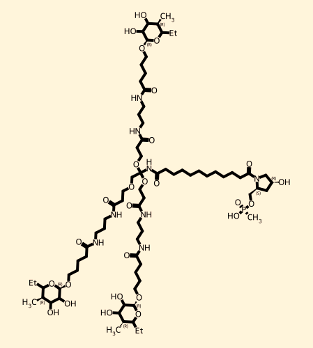 CCC1O[C@@H](OCCCCC(=O)NCCCNC(=O)CCOCC(NC(=O)CCCCCCCCCCC(=O)N2C[C@H](O)C[C@H]2COP(C)(=O)O)(OCCC(=O)NCCCNC(=O)CCCCO[C@@H]2OC(CC)[C@H](C)C(O)C2O)OCCC(=O)NCCCNC(=O)CCCCO[C@@H]2OC(CC)[C@H](C)C(O)C2O)C(O)C(O)[C@H]1C